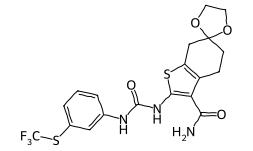 NC(=O)c1c(NC(=O)Nc2cccc(SC(F)(F)F)c2)sc2c1CCC1(C2)OCCO1